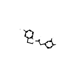 CC(C)c1ccc2c(c1)CCN2C(=O)Cc1ccc(Cl)c(Cl)c1